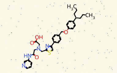 CCCC(CCC)c1ccc(OCc2ccc(-c3csc(CN(CC(=O)O)CC(=O)Nc4cccnc4)n3)cc2)cc1